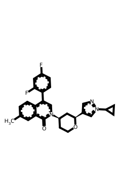 Cc1ccc2c(-c3ccc(F)cc3F)cn([C@@H]3CCO[C@H](c4cnn(C5CC5)c4)C3)c(=O)c2c1